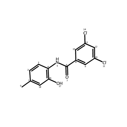 Cc1ccc(NC(=O)c2cc(Cl)cc(Cl)c2)c(O)c1